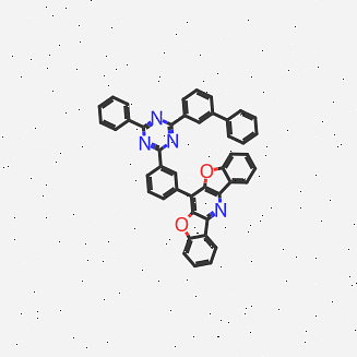 c1ccc(-c2cccc(-c3nc(-c4ccccc4)nc(-c4cccc(-c5c6oc7ccccc7c6nc6c5oc5ccccc56)c4)n3)c2)cc1